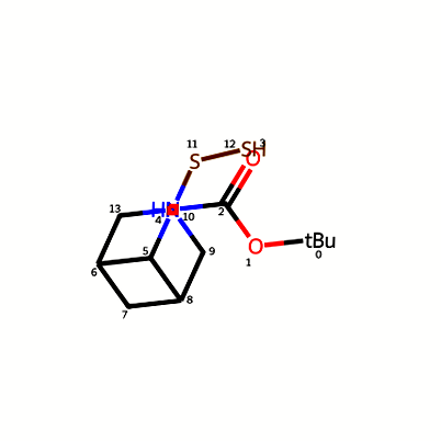 CC(C)(C)OC(=O)NC1C2CC1CN(SS)C2